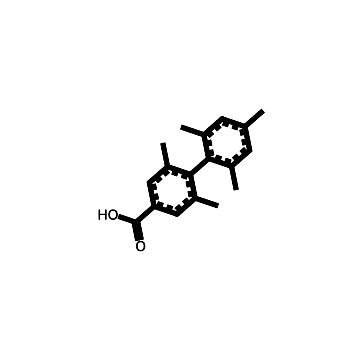 Cc1cc(C)c(-c2c(C)cc(C(=O)O)cc2C)c(C)c1